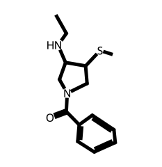 CCNC1CN(C(=O)c2ccccc2)CC1SC